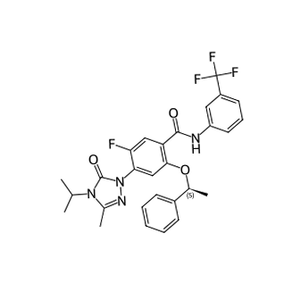 Cc1nn(-c2cc(O[C@@H](C)c3ccccc3)c(C(=O)Nc3cccc(C(F)(F)F)c3)cc2F)c(=O)n1C(C)C